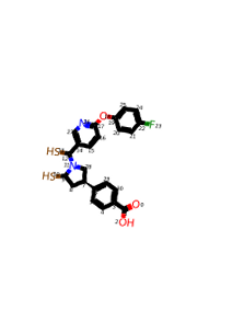 O=C(O)c1ccc([C@H]2CC(S)N(C(S)c3ccc(Oc4ccc(F)cc4)nc3)C2)cc1